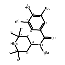 CCCCN(C(=O)c1cc(C(C)(C)C)c(O)c(C(C)(C)C)c1)C1CC(C)(C)NC(C)(C)C1